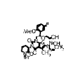 C=NN(/N=C\C)c1sc2c(c1C)c(=O)n([C@H]1CCCN(C(C)C)C1=O)c(=O)n2C[C@H](OCCO)c1cc(F)ccc1OC